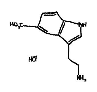 Cl.NCCc1c[nH]c2ccc(C(=O)O)cc12